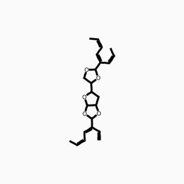 C=C/C(=C\C=C/C)C1OC2CC(C3COC(C(/C=C\C)=C/C=C\C)O3)OC2O1